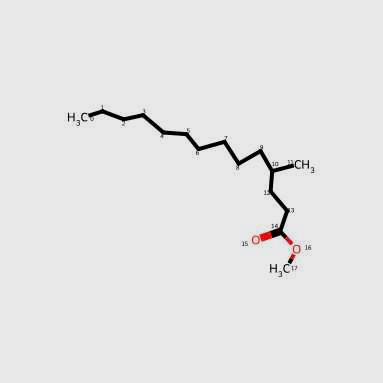 CCCCCCCCCCC(C)CCC(=O)OC